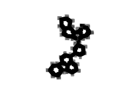 c1cc(-c2ccc3c4c(cccc24)-c2ccccc2-3)cc(-n2c3cccnc3c3c4ccccc4ccc32)c1